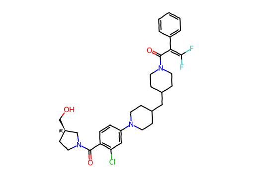 O=C(C(=C(F)F)c1ccccc1)N1CCC(CC2CCN(c3ccc(C(=O)N4CC[C@@H](CO)C4)c(Cl)c3)CC2)CC1